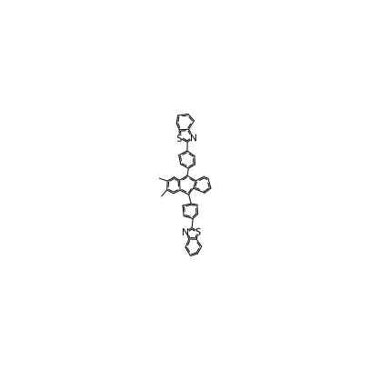 Cc1cc2c(-c3ccc(-c4nc5ccccc5s4)cc3)c3ccccc3c(-c3ccc(-c4nc5ccccc5s4)cc3)c2cc1C